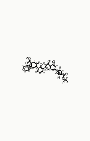 COC(=O)c1cc(F)c(-c2cccc3c2OCN(C(=O)c2c(Cl)cc(N4C[C@@H]5CC[C@H]4CN5C(=O)OC(C)(C)C)cc2Cl)C3)cc1N1C2CCC1COC2